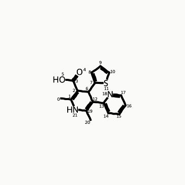 CC1=C(C(=O)O)C(c2cccs2)C(c2ccccn2)=C(C)N1